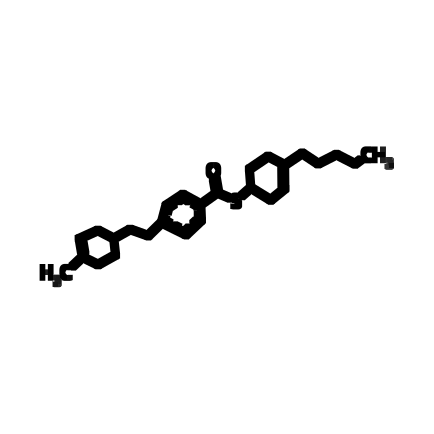 CCCCCC1=CCC(SC(=O)c2ccc(CCC3CC=C(C)CC3)cc2)CC1